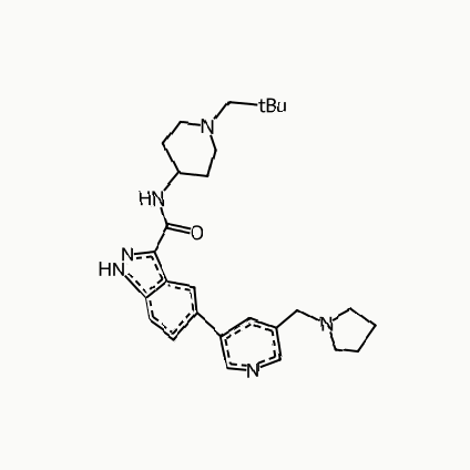 CC(C)(C)CN1CCC(NC(=O)c2n[nH]c3ccc(-c4cncc(CN5CCCC5)c4)cc23)CC1